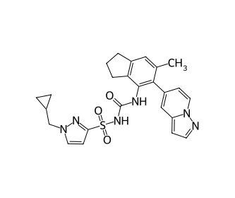 Cc1cc2c(c(NC(=O)NS(=O)(=O)c3ccn(CC4CC4)n3)c1-c1ccn3nccc3c1)CCC2